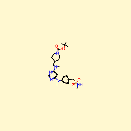 CNS(=O)(=O)Cc1ccc(Nc2cc(N(C)CC3CCN(C(=O)OC(C)(C)C)CC3)ncn2)cc1